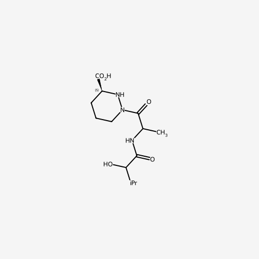 CC(NC(=O)C(O)C(C)C)C(=O)N1CCC[C@@H](C(=O)O)N1